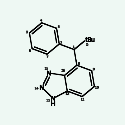 CC(C)(C)C(c1ccccc1)c1cccc2[nH]nnc12